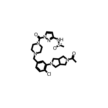 CC(=O)N1CC2CN(c3cc(CN4CCN(C(=O)n5ccc(N[S+](C)[O-])n5)CC4)ccc3Cl)CC2C1